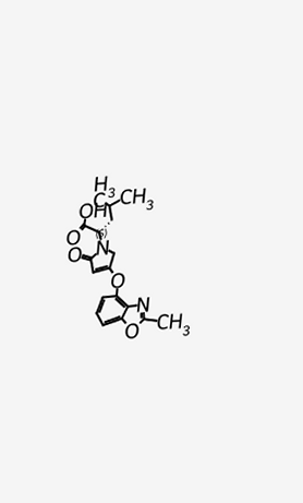 Cc1nc2c(OC3=CC(=O)N([C@@H](CC(C)C)C(=O)O)C3)cccc2o1